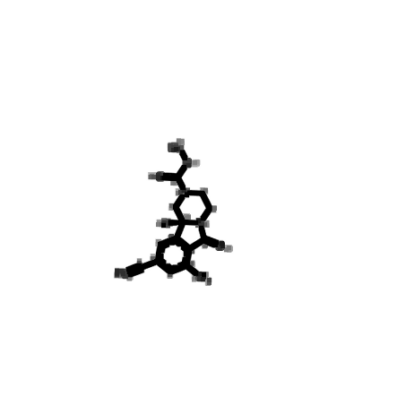 C#Cc1cc2c(c(C(F)(F)F)c1)C(=O)N1CCN(C(=O)OC(C)(C)C)C[C@@H]21